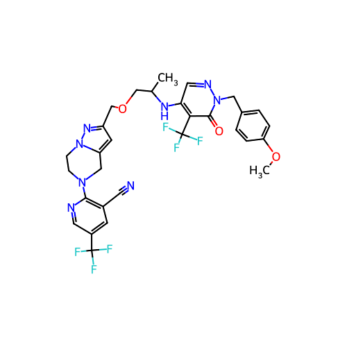 COc1ccc(Cn2ncc(NC(C)COCc3cc4n(n3)CCN(c3ncc(C(F)(F)F)cc3C#N)C4)c(C(F)(F)F)c2=O)cc1